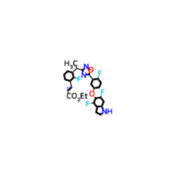 CCOC(=O)/C=C/c1cccc(C(C)c2noc(-c3cc(Oc4c(F)cc5[nH]ccc5c4F)ccc3F)n2)c1F